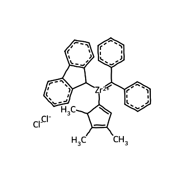 CC1=C(C)C(C)[C]([Zr+2](=[C](c2ccccc2)c2ccccc2)[CH]2c3ccccc3-c3ccccc32)=C1.[Cl-].[Cl-]